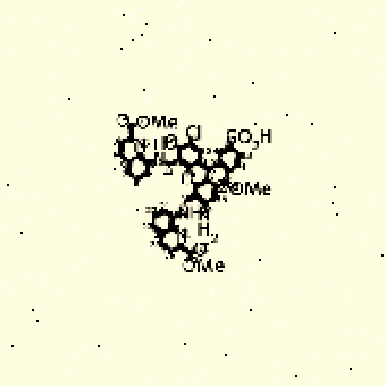 COC(=O)c1ccc2cccc(NCc3c4oc5c(CNc6cccc7ccc(C(=O)OC)nc67)c(N)ccc5c(-c5cc(C(=O)O)ccc5C(=O)OC)c-4cc(Cl)c3=O)c2n1